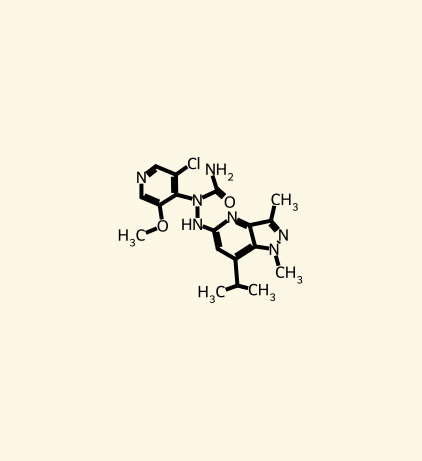 COc1cncc(Cl)c1N(Nc1cc(C(C)C)c2c(n1)c(C)nn2C)C(N)=O